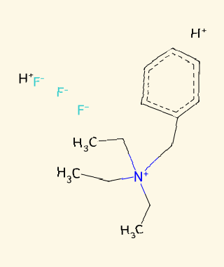 CC[N+](CC)(CC)Cc1ccccc1.[F-].[F-].[F-].[H+].[H+]